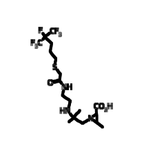 CC1C(C(=O)O)N1CC(C)(C)NCCNC(=O)CSCCCC(F)(C(F)(F)F)C(F)(F)F